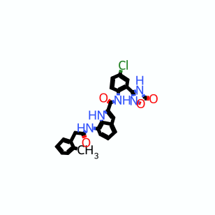 Cc1ccccc1CC(=O)Nc1cccc2cc(C(=O)Nc3ccc(Cl)cc3-c3noc(=O)[nH]3)[nH]c12